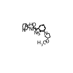 CO[C@H]1CCN(c2cccc3c(C(=O)N[C@@H]4CN5CCC4CC5)nsc23)C1